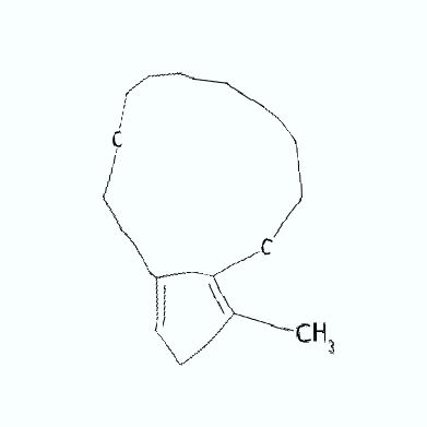 CC1=C2CCCCCCCCCCC2=CC1